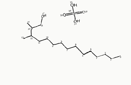 CCCCCCCCCCCCC(C)C(C)CO.O=S(=O)(O)O